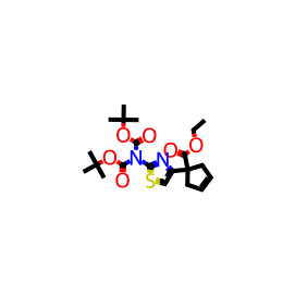 CCOC(=O)C1(c2csc(N(C(=O)OC(C)(C)C)C(=O)OC(C)(C)C)n2)CC=CC1